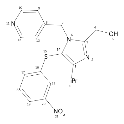 CC(C)c1nc(CO)n(Cc2ccncc2)c1Sc1cccc([N+](=O)[O-])c1